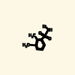 CCNS(=O)(=O)c1cccc(C)c1C